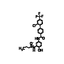 CCC[S+]([O-])Nc1cc(NC(=O)c2ccc(-c3ccc(C(F)(F)F)cc3Cl)cc2)ccc1O